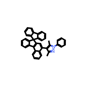 Cc1nn(-c2ccccc2)c(C)c1-c1cc2c(c3ccccc13)-c1ccccc1C21c2ccccc2-c2ccccc21